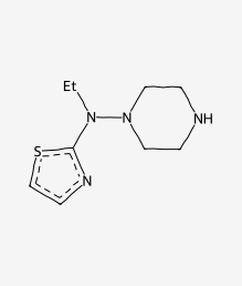 CCN(c1nccs1)N1CCNCC1